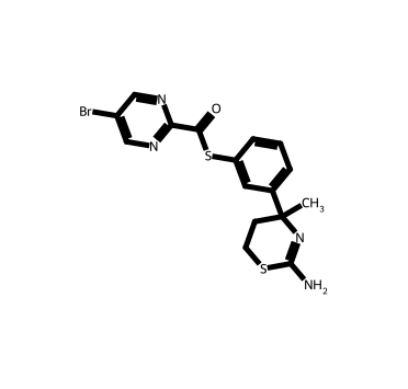 CC1(c2cccc(SC(=O)c3ncc(Br)cn3)c2)CCSC(N)=N1